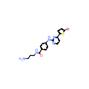 NCCCNC(=O)c1ccc(Nc2nccc(-c3ccc(Br)s3)n2)cc1